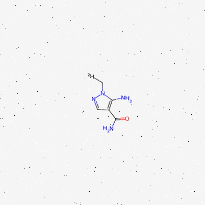 [2H]Cn1ncc(C(N)=O)c1N